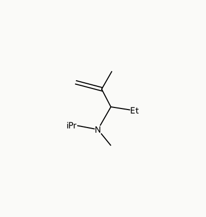 C=C(C)C(CC)N(C)C(C)C